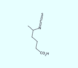 CC(CCCC(=O)O)N=C=S